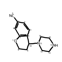 N#Cc1ccc2c(c1)OCCC2N1CCNCC1